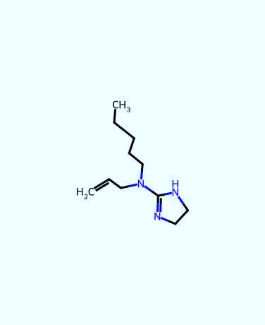 C=CCN(CCCCC)C1=NCCN1